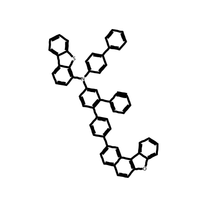 c1cccc(-c2cc(N(c3ccc(-c4ccccc4)cc3)c3cccc4c3sc3ccccc34)ccc2-c2ccc(-c3ccc4ccc5oc6ccccc6c5c4c3)cc2)c#1